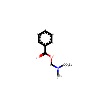 CCCCN(COC(=O)c1ccccc1)C(=O)OCC